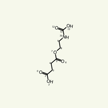 O=C(O)CCC(=O)OCCNC(=O)O